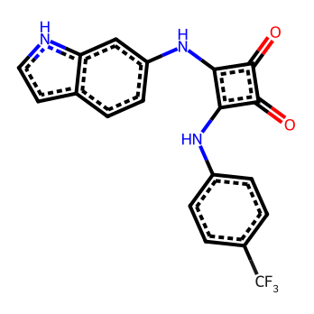 O=c1c(Nc2ccc(C(F)(F)F)cc2)c(Nc2ccc3cc[nH]c3c2)c1=O